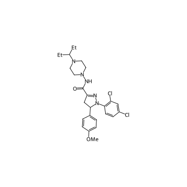 CCC(CC)N1CCN(NC(=O)C2=NN(c3ccc(Cl)cc3Cl)C(c3ccc(OC)cc3)C2)CC1